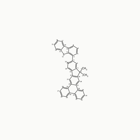 CC1(C)c2cc(-c3cccc4c3sc3ccccc34)ncc2-c2cc3c4ccccc4c4ccccc4c3cc21